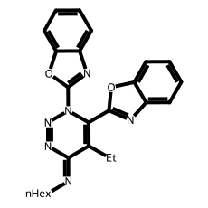 CCCCCCN=c1nnn(-c2nc3ccccc3o2)c(-c2nc3ccccc3o2)c1CC